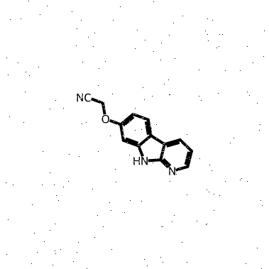 N#CCOc1ccc2c(c1)[nH]c1ncccc12